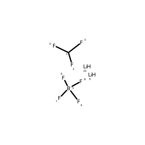 FC(F)F.F[B-](F)(F)F.[LiH].[LiH]